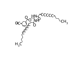 CCCCC=C=C=C=C=C=CC(=O)NC(COC(=O)C1=CC=CC(=C=O)C1)NC(=O)C=C=C=C=C=C=CCCCC